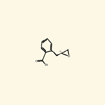 O=C(S)c1ccccc1C[C@H]1CO1